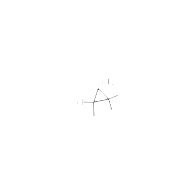 CC1(C)CC1(C)Cl.[SiH4]